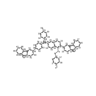 Cc1ccc(CCc2c(-c3ccc4oc5ccccc5c4c3)ccc3cc(N(c4ccc(C)cc4)c4ccc(-c5ccc6oc7ccccc7c6c5)cc4)ccc23)cc1